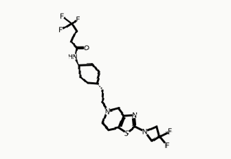 O=C(CCC(F)(F)F)N[C@H]1CC[C@H](CCN2CCc3sc(N4CC(F)(F)C4)nc3C2)CC1